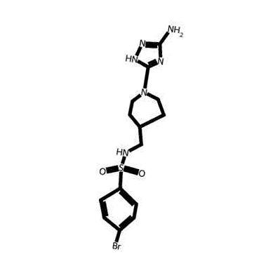 Nc1n[nH]c(N2CCC(CNS(=O)(=O)c3ccc(Br)cc3)CC2)n1